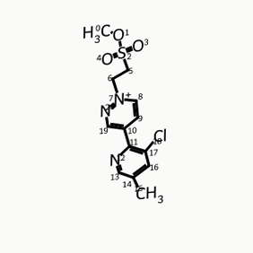 COS(=O)(=O)CC[n+]1ccc(-c2ncc(C)cc2Cl)cn1